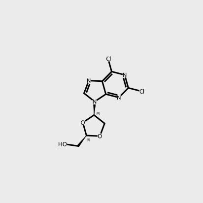 OC[C@@H]1OC[C@H](n2cnc3c(Cl)nc(Cl)nc32)O1